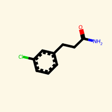 NC(=O)CCc1cccc(Cl)c1